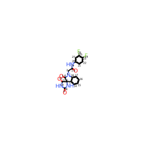 O=C(CN1C(=O)C2(NC(=O)NC2=O)c2ccccc21)Nc1ccc(F)c(F)c1